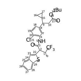 CC(C(C(=O)Nc1cc(C(CC(=O)OC(C)(C)C)C2CC2)ccc1Cl)c1cc2ccccc2s1)C(F)(F)F